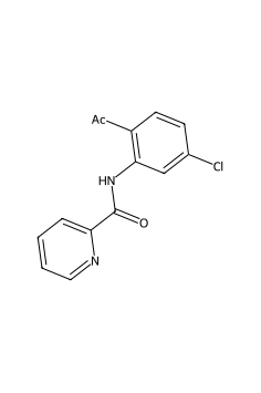 CC(=O)c1ccc(Cl)cc1NC(=O)c1ccccn1